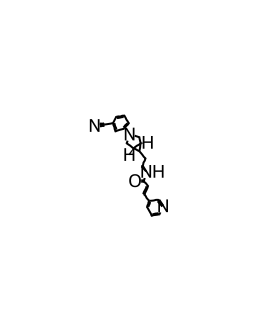 N#Cc1cccc(N2C[C@@H]3C(CCNC(=O)/C=C/c4cccnc4)[C@@H]3C2)c1